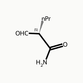 CCC[C@@H](C=O)C(N)=O